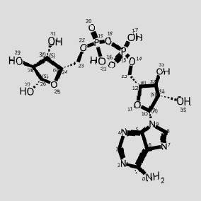 Nc1ncnc2c1ncn2[C@@H]1O[C@H](COP(=O)(O)OP(=O)(O)OC[C@@H]2O[C@H](O)C(O)[C@@H]2O)C(O)[C@@H]1O